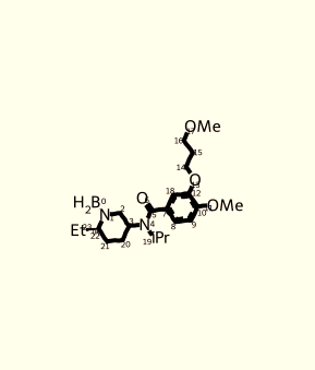 BN1CC(N(C(=O)c2ccc(OC)c(OCCCOC)c2)C(C)C)CC[C@H]1CC